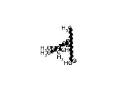 CCCCCCC(CCCCCCCCC(=O)O)OC(=O)OCCN(CCN(CC)CC)C(C)C